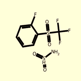 N[SH](=O)=O.O=S(=O)(c1ccccc1F)C(F)(F)F